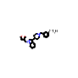 O=C(O)c1cccc(CN2CCC(c3cn(Cc4ccoc4)c4ccccc34)CC2)c1